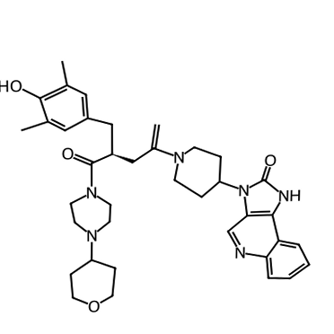 C=C(C[C@H](Cc1cc(C)c(O)c(C)c1)C(=O)N1CCN(C2CCOCC2)CC1)N1CCC(n2c(=O)[nH]c3c4ccccc4ncc32)CC1